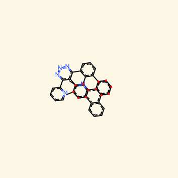 Cc1cc2c3ccccc3c3ccccc3c2c(-c2c(-c3ccccc3)cccc2-c2nnnc(-c3ccccn3)c2-c2ccccn2)c1C